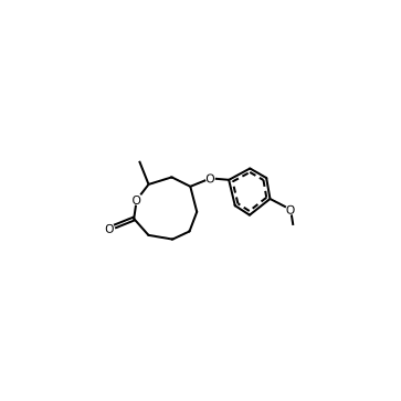 COc1ccc(OC2CCCCC(=O)OC(C)C2)cc1